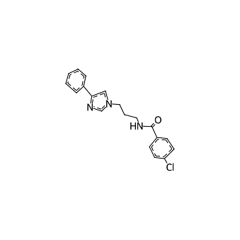 O=C(NCCCn1cnc(-c2ccccc2)c1)c1ccc(Cl)cc1